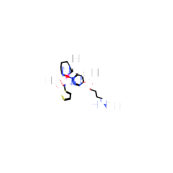 CNCCCCOC1C=CC(C(C)N2C3CCC2CC(NC(=O)c2cccs2)C3)=C(C)C1C